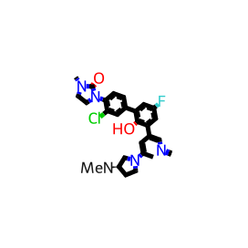 C=N/C=C(\C=C(/C)N1CC[C@H](NC)C1)c1cc(F)cc(-c2ccc(N3CCN(C)C3=O)c(Cl)c2)c1O